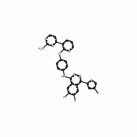 Cc1csc(-c2nnc(Nc3ccc(Oc4ncccc4-c4ccnc(N)n4)cc3)c3cc(F)c(F)cc23)c1